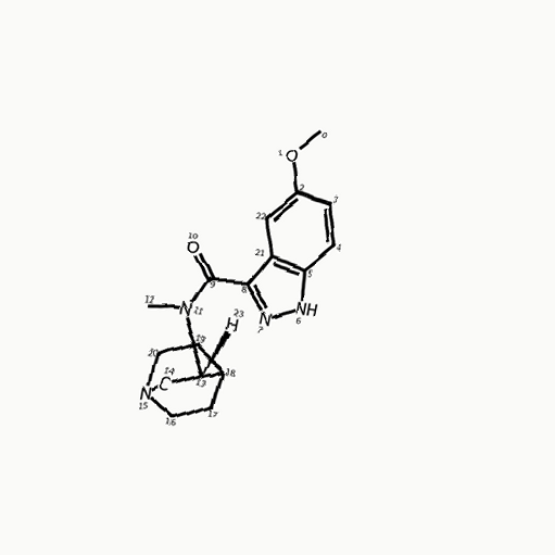 COc1ccc2[nH]nc(C(=O)N(C)[C@H]3CN4CCC3CC4)c2c1